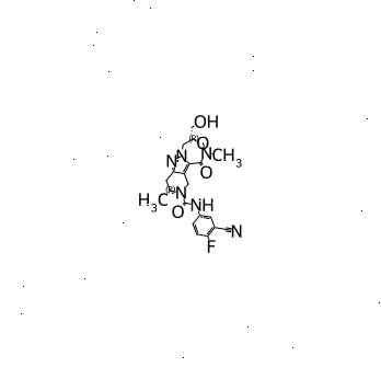 C[C@@H]1Cc2nn3c(c2CN1C(=O)Nc1ccc(F)c(C#N)c1)C(=O)N(C)O[C@@H](CO)C3